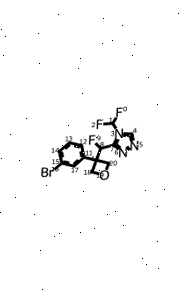 FC(F)n1cnnc1C(F)C1(c2cccc(Br)c2)COC1